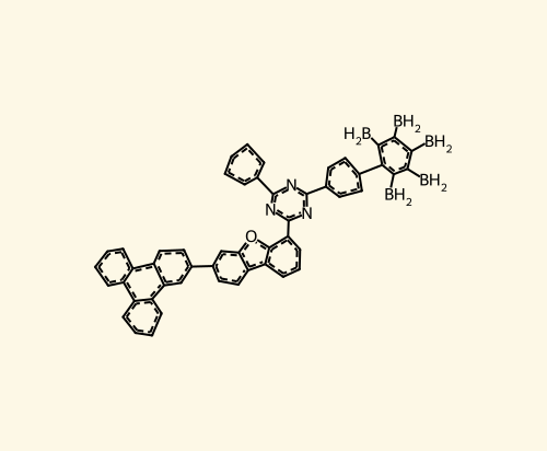 Bc1c(B)c(B)c(-c2ccc(-c3nc(-c4ccccc4)nc(-c4cccc5c4oc4cc(-c6ccc7c8ccccc8c8ccccc8c7c6)ccc45)n3)cc2)c(B)c1B